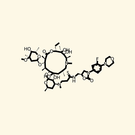 CC[C@H]1OC(=O)[C@H](C)[C@@H](O[C@H]2C[C@@](C)(OC)[C@@H](O)[C@H](C)O2)[C@H](C)[C@@H](O[C@@H]2O[C@H](C)C[C@H](N(C)CCC(=S)NC[C@H]3CN(c4ccc(N5CCOCC5)c(F)c4)C(=O)O3)[C@H]2O)[C@](C)(O)C[C@@H](C)CN(C)[C@H](C)[C@@H](O)[C@]1(C)O